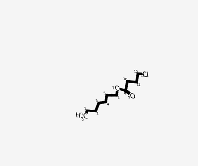 CCCCCCCOC(=O)CCCCl